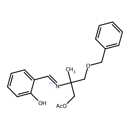 CC(=O)OCC(C)(COCc1ccccc1)/N=C/c1ccccc1O